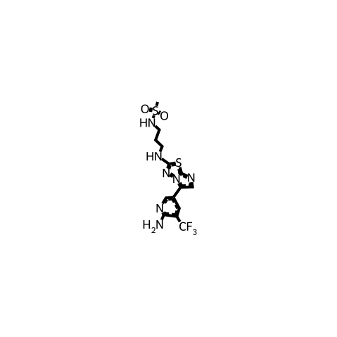 CS(=O)(=O)NCCCNc1nn2c(-c3cnc(N)c(C(F)(F)F)c3)cnc2s1